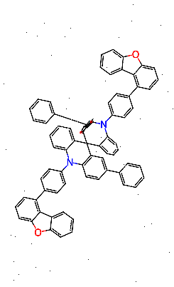 c1ccc(-c2ccc3c(c2)C2(c4ccccc4N3c3ccc(-c4cccc5oc6ccccc6c45)cc3)c3ccccc3N(c3ccc(-c4cccc5oc6ccccc6c45)cc3)c3ccc(-c4ccccc4)cc32)cc1